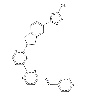 Cn1cc(-c2ccc3c(c2)CN(c2nccc(-c4nccc(/C=C/c5ccncc5)n4)n2)C3)cn1